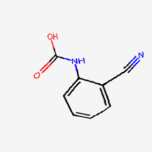 N#Cc1ccccc1NC(=O)O